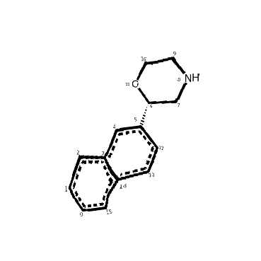 c1ccc2cc([C@H]3CNCCO3)ccc2c1